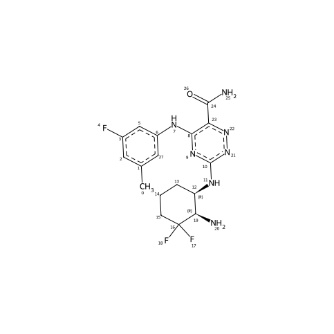 Cc1cc(F)cc(Nc2nc(N[C@@H]3CCCC(F)(F)[C@@H]3N)nnc2C(N)=O)c1